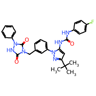 CC(C)(C)c1cc(NC(=O)Nc2ccc(F)cc2)n(-c2cccc(Cn3c(=O)[nH]n(-c4ccccc4)c3=O)c2)n1